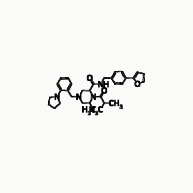 CC(C)C(=O)N1C(C)CN(Cc2ccccc2N2CCCC2)CC1C(=O)NCc1ccc(-c2ccco2)cc1